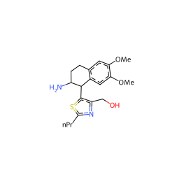 CCCc1nc(CO)c(C2c3cc(OC)c(OC)cc3CCC2N)s1